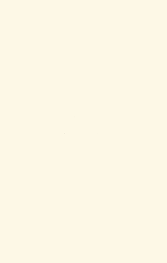 C=C1C=C(C)C(C)=C(C)C1=O